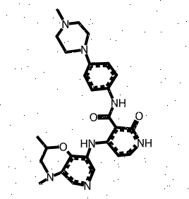 CC1CN(C)c2cncc(Nc3cc[nH]c(=O)c3C(=O)Nc3ccc(N4CCN(C)CC4)cc3)c2O1